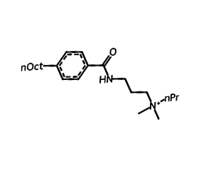 CCCCCCCCc1ccc(C(=O)NCCC[N+](C)(C)CCC)cc1